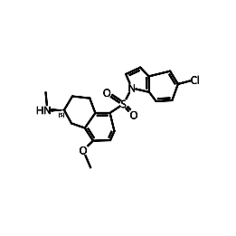 CN[C@H]1CCc2c(S(=O)(=O)n3ccc4cc(Cl)ccc43)ccc(OC)c2C1